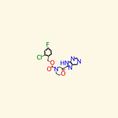 O=C(OCc1ccc(F)cc1Cl)N1CCO[C@H](c2nc3cncnc3[nH]2)C1